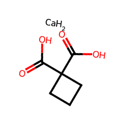 O=C(O)C1(C(=O)O)CCC1.[CaH2]